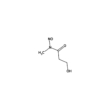 CN(N=O)C(=O)CCO